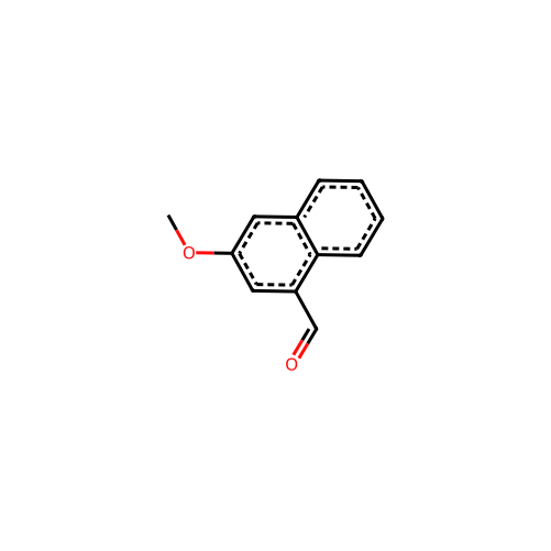 COc1cc(C=O)c2ccccc2c1